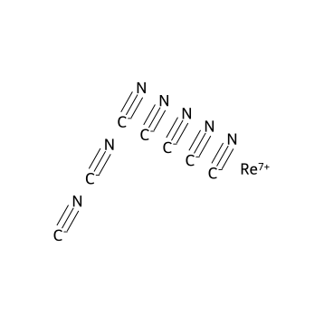 [C-]#N.[C-]#N.[C-]#N.[C-]#N.[C-]#N.[C-]#N.[C-]#N.[Re+7]